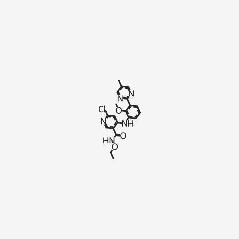 CCONC(=O)c1cnc(Cl)cc1Nc1cccc(-c2ncc(C)cn2)c1OC